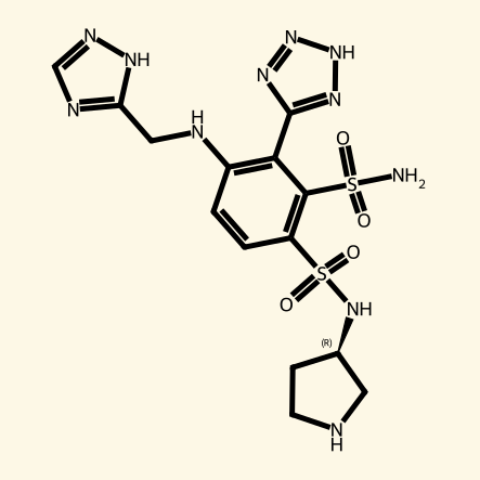 NS(=O)(=O)c1c(S(=O)(=O)N[C@@H]2CCNC2)ccc(NCc2ncn[nH]2)c1-c1nn[nH]n1